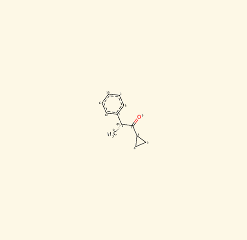 C[C@@H](C(=O)C1CC1)c1ccccc1